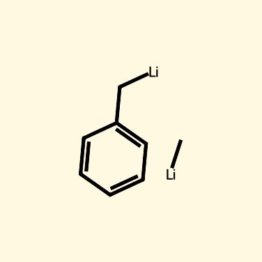 [Li][CH2]c1ccccc1.[Li][CH3]